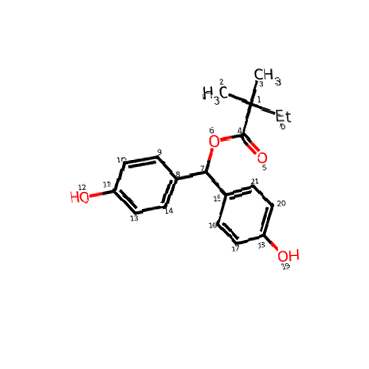 CCC(C)(C)C(=O)OC(c1ccc(O)cc1)c1ccc(O)cc1